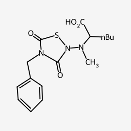 CCCCC(C(=O)O)N(C)n1sc(=O)n(Cc2ccccc2)c1=O